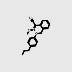 CCCc1ccc(OCc2ccccc2C(C#N)=NOC)cc1